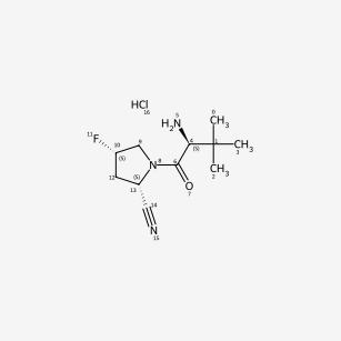 CC(C)(C)[C@H](N)C(=O)N1C[C@@H](F)C[C@H]1C#N.Cl